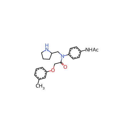 CC(=O)Nc1ccc(N(CC2CCCN2)C(=O)COc2cccc(C)c2)cc1